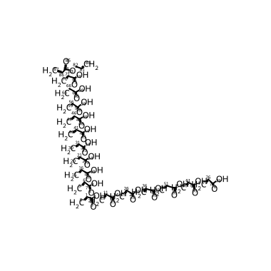 C=CC(=O)O.C=CC(=O)O.C=CC(=O)O.C=CC(=O)O.C=CC(=O)O.C=CC(=O)O.C=CC(=O)O.C=CC(=O)O.C=CC(=O)O.C=CC(=O)O.C=CC(=O)O.C=CC(=O)O.C=CC(=O)O.C=CC(=O)O.C=CC(=O)O.C=CC(=O)O.C=CCOC(=O)C=C